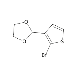 Brc1sccc1C1OCCO1